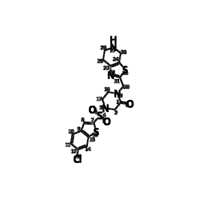 O=C1CN(S(=O)(=O)c2cc3ccc(Cl)cc3s2)CCN1Cc1nc2c(s1)CNCC2